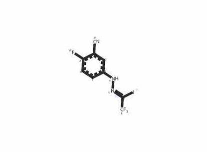 N#Cc1cc(N/N=C(\I)C(F)(F)F)ccc1F